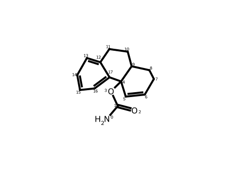 NC(=O)OC12C=CCCC1CCc1ccccc12